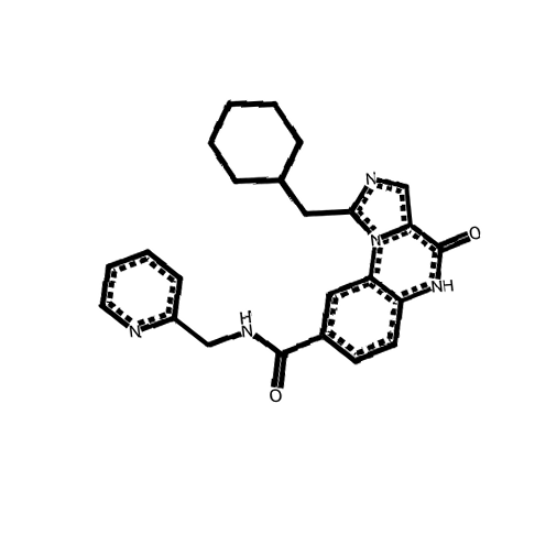 O=C(NCc1ccccn1)c1ccc2[nH]c(=O)c3cnc(CC4CCCCC4)n3c2c1